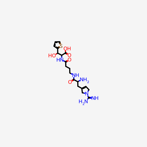 N=C(N)N1CC=C(CC(N)C(=O)NCCCC(=O)NC(C(=O)O)C(O)c2cccs2)C1